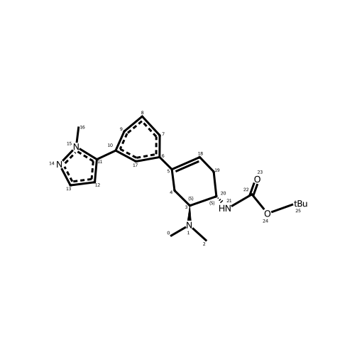 CN(C)[C@H]1CC(c2cccc(-c3ccnn3C)c2)=CC[C@@H]1NC(=O)OC(C)(C)C